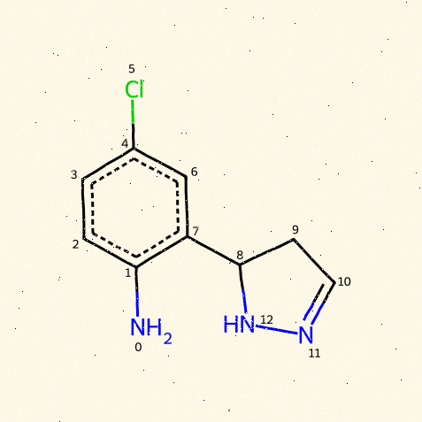 Nc1ccc(Cl)cc1C1CC=NN1